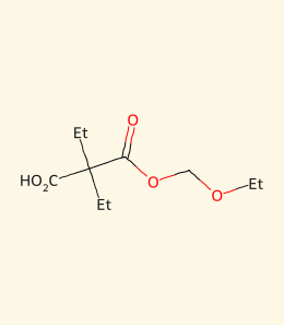 CCOCOC(=O)C(CC)(CC)C(=O)O